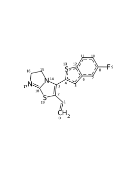 C=CC1=C(c2cc3cc(F)ccc3s2)N2CCN=C2S1